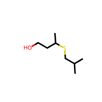 CC(C)CSC(C)CCO